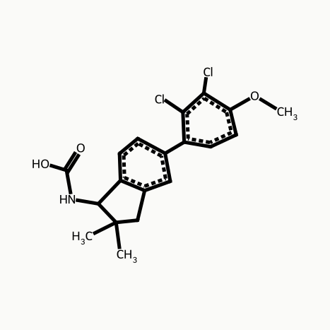 COc1ccc(-c2ccc3c(c2)CC(C)(C)C3NC(=O)O)c(Cl)c1Cl